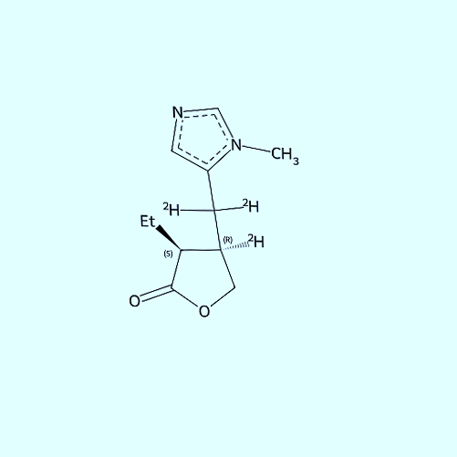 [2H]C([2H])(c1cncn1C)[C@@]1([2H])COC(=O)[C@H]1CC